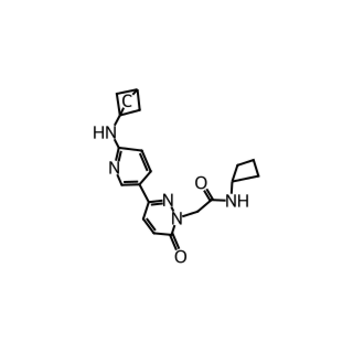 O=C(Cn1nc(-c2ccc(NC34CC(C3)C4)nc2)ccc1=O)NC1CCC1